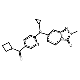 Cn1nc2cc(N(c3ccc(C(=O)N4CCC4)cn3)C3CC3)ccn2c1=O